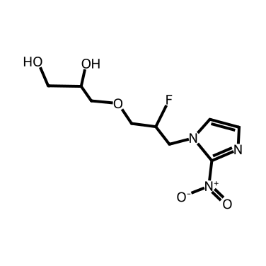 O=[N+]([O-])c1nccn1CC(F)COCC(O)CO